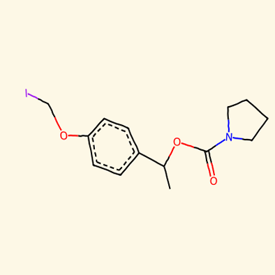 CC(OC(=O)N1CCCC1)c1ccc(OCI)cc1